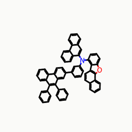 c1ccc(-c2c(-c3ccccc3)c3cc(-c4cccc(N(c5cc6ccccc6c6ccccc56)c5cccc6oc7c8ccccc8ccc7c56)c4)ccc3c3ccccc23)cc1